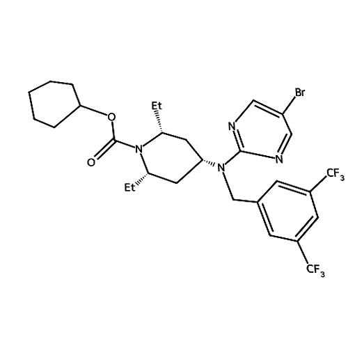 CC[C@@H]1C[C@H](N(Cc2cc(C(F)(F)F)cc(C(F)(F)F)c2)c2ncc(Br)cn2)C[C@H](CC)N1C(=O)OC1CCCCC1